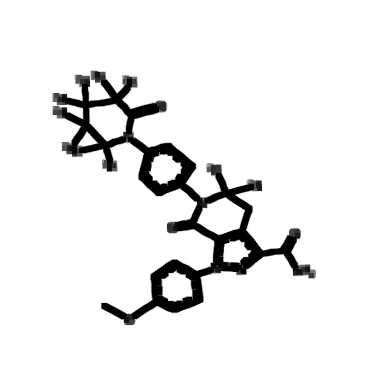 [2H]C1([2H])Cc2c(C(N)=O)nn(-c3ccc(OC)cc3)c2C(=O)N1c1ccc(N2C(=O)C([2H])([2H])C([2H])([2H])C([2H])([2H])C2([2H])[2H])cc1